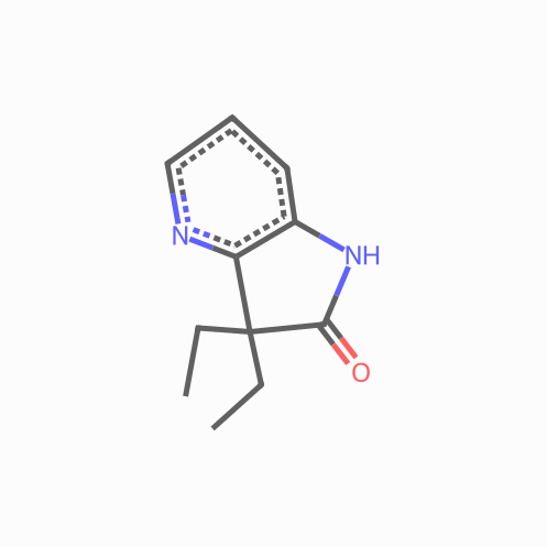 CCC1(CC)C(=O)Nc2cccnc21